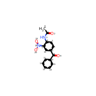 CC(=O)Nc1ccc(C(=O)c2ccccc2)cc1[N+](=O)[O-]